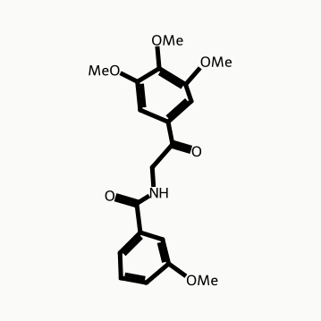 COc1cccc(C(=O)NCC(=O)c2cc(OC)c(OC)c(OC)c2)c1